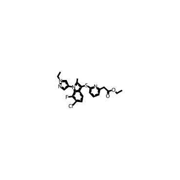 CCOC(=O)Cc1cccc(Sc2c(C)n(-c3cnn(CC)c3)c3c(F)c(Cl)ccc23)n1